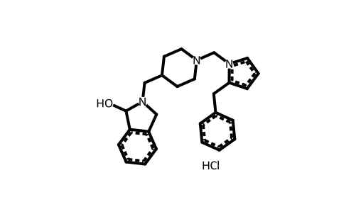 Cl.OC1c2ccccc2CN1CC1CCN(Cn2cccc2Cc2ccccc2)CC1